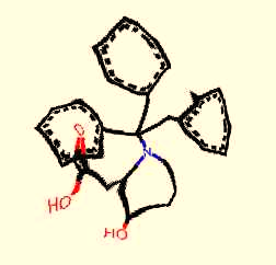 O=C(O)[C@@H]1C(O)CCN1C(c1ccccc1)(c1ccccc1)c1ccccc1